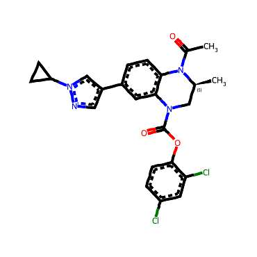 CC(=O)N1c2ccc(-c3cnn(C4CC4)c3)cc2N(C(=O)Oc2ccc(Cl)cc2Cl)C[C@@H]1C